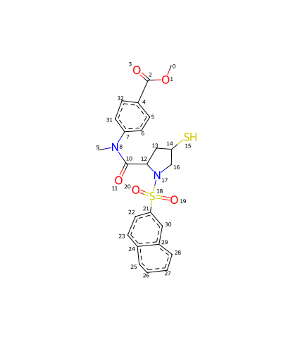 COC(=O)c1ccc(N(C)C(=O)C2CC(S)CN2S(=O)(=O)c2ccc3ccccc3c2)cc1